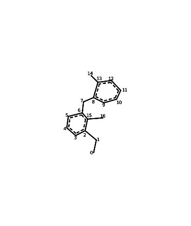 CCc1cccc(Cc2ccccc2C)c1C